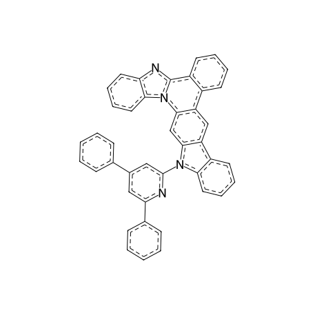 c1ccc(-c2cc(-c3ccccc3)nc(-n3c4ccccc4c4cc5c6ccccc6c6nc7ccccc7n6c5cc43)c2)cc1